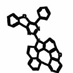 c1ccc(-c2nc(-n3c4ccc5cccc6c5c4c4c5c(ccc43)oc3cccc-6c35)nc3c2oc2ccccc23)cc1